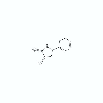 C=C1CC(C2=CC=CCC2)NC1=C